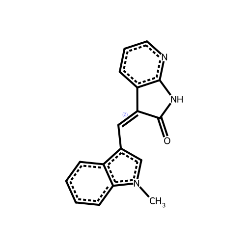 Cn1cc(/C=C2\C(=O)Nc3ncccc32)c2ccccc21